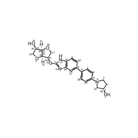 O[C@@H]1CCN(c2ccc(-c3ccc4[nH]c(O[C@@H]5CO[C@H]6[C@@H]5OC[C@H]6O)nc4n3)cc2)C1